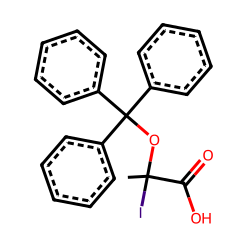 CC(I)(OC(c1ccccc1)(c1ccccc1)c1ccccc1)C(=O)O